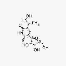 CC(NO)c1cn([C@H]2O[C@@H](CO)C(O)C2O)c(=S)[nH]c1=O